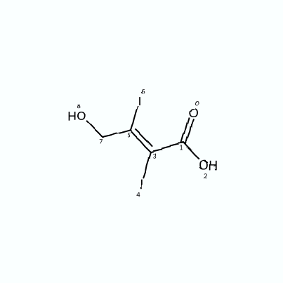 O=C(O)C(I)=C(I)CO